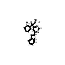 NCC(N)(c1ccccc1)c1cc(-c2cc3ccccc3s2)ncn1